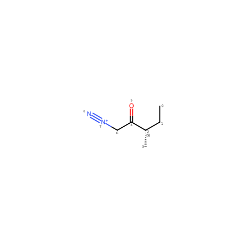 CC[C@H](C)C(=O)C[N+]#N